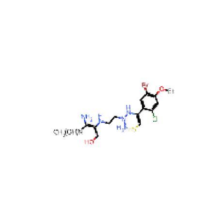 CCOc1cc(Cl)c(/C(=C/S)NN(N)CCN/C(CO)=C(\N)N(C)O)cc1Br